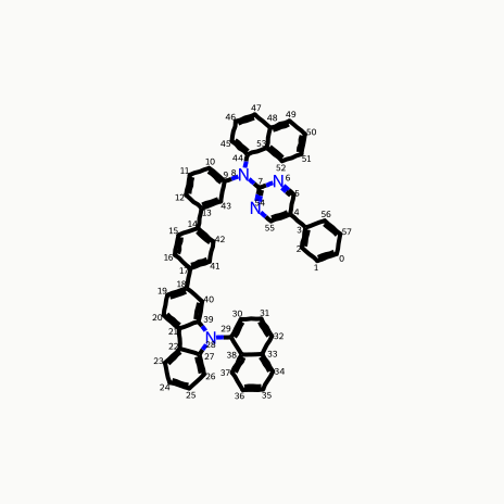 c1ccc(-c2cnc(N(c3cccc(-c4ccc(-c5ccc6c7ccccc7n(-c7cccc8ccccc78)c6c5)cc4)c3)c3cccc4ccccc34)nc2)cc1